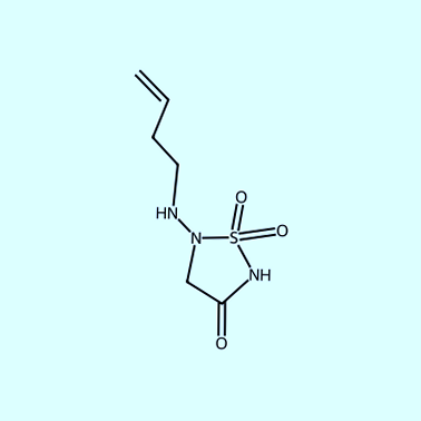 C=CCCNN1CC(=O)NS1(=O)=O